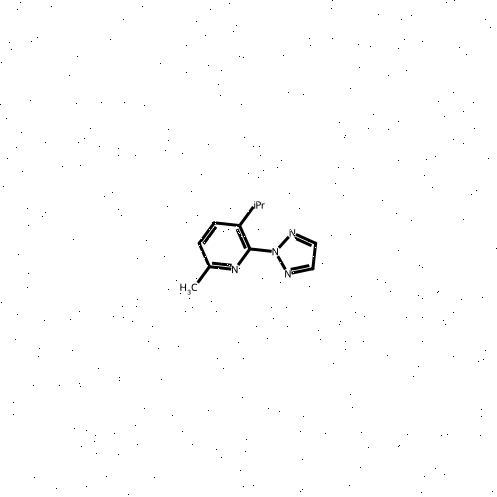 Cc1ccc(C(C)C)c(-n2nccn2)n1